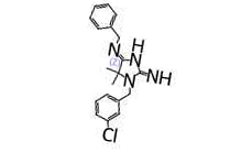 CC1(C)/C(=N/Cc2ccccc2)NC(=N)N1Cc1cccc(Cl)c1